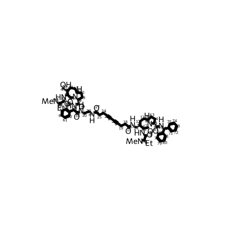 CC[C@H](NC)C(=O)N[C@@H]1C(=O)N2[C@@H](CC[C@@H]1CNC(=O)CCC#CC#CCCC(=O)NCCNC(=O)[C@@H](NC(=O)[C@@H]1CC[C@@H]3CC[C@H](CO)[C@H](NC(=O)[C@H](CC)NC)C(=O)N31)c1ccccc1)CC[C@H]2C(=O)NC(c1ccccc1)c1ccccc1